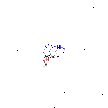 CC(=O)CN.CC(=O)CN.CC(=O)CN.CCO